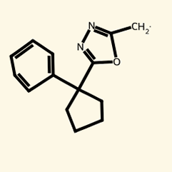 [CH2]c1nnc(C2(c3ccccc3)CCCC2)o1